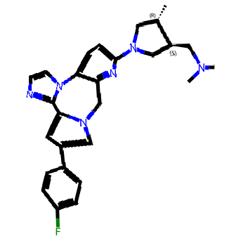 C[C@H]1CN(c2ccc3c(n2)Cn2cc(-c4ccc(F)cc4)cc2-c2nccn2-3)C[C@@H]1CN(C)C